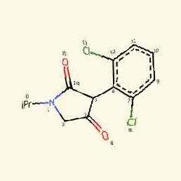 CC(C)N1CC(=O)C(c2c(Cl)cccc2Cl)C1=O